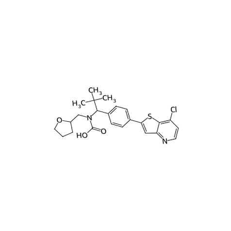 CC(C)(C)C(c1ccc(-c2cc3nccc(Cl)c3s2)cc1)N(CC1CCCO1)C(=O)O